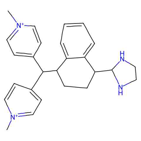 C[n+]1ccc(C(c2cc[n+](C)cc2)C2CCC(C3NCCN3)c3ccccc32)cc1